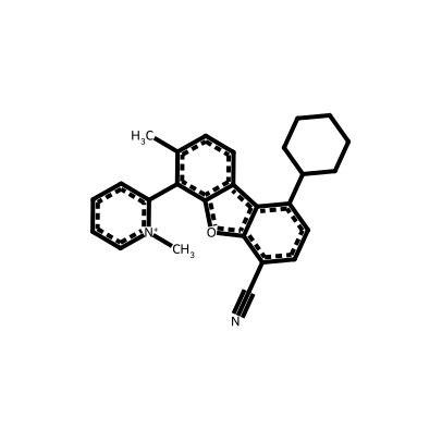 Cc1ccc2c(oc3c(C#N)ccc(C4CCCCC4)c32)c1-c1cccc[n+]1C